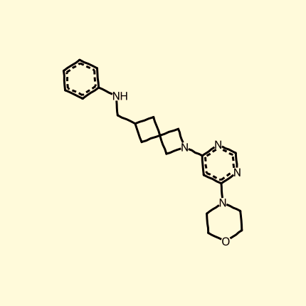 c1ccc(NCC2CC3(C2)CN(c2cc(N4CCOCC4)ncn2)C3)cc1